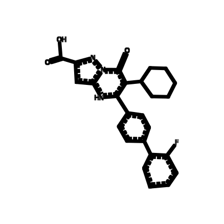 O=C(O)c1cc2[nH]c(-c3ccc(-c4ccccc4F)cc3)c(C3CCCCC3)c(=O)n2n1